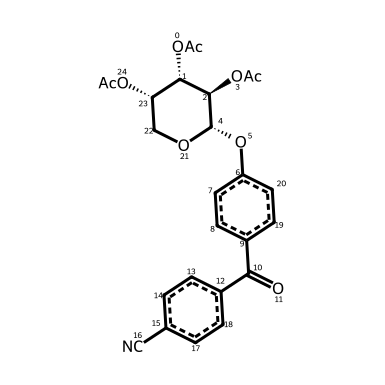 CC(=O)O[C@@H]1[C@@H](OC(C)=O)[C@H](Oc2ccc(C(=O)c3ccc(C#N)cc3)cc2)OC[C@@H]1OC(C)=O